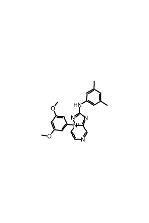 COc1cc(OC)cc([N+]23C=CN=CC2=NC(Nc2cc(C)cc(C)c2)=N3)c1